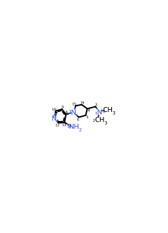 CN(C)CC1CCN(c2ccncc2N)CC1